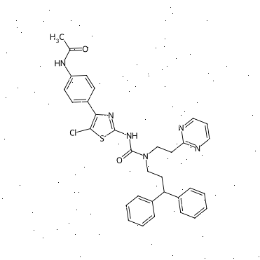 CC(=O)Nc1ccc(-c2nc(NC(=O)N(CCc3ncccn3)CCC(c3ccccc3)c3ccccc3)sc2Cl)cc1